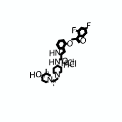 C[C@H]1CN([C@@H](C)CN2CCC(NC(=O)c3cc4c(OCc5coc6cc(F)cc(F)c56)cccc4[nH]3)CC2)CC[C@@H]1O.Cl.Cl